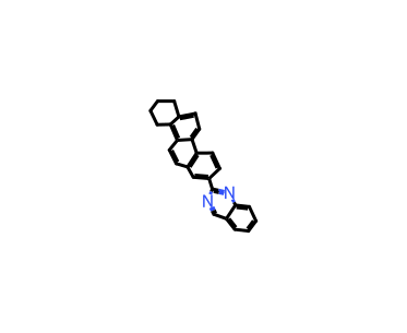 c1ccc2nc(-c3ccc4c(ccc5c6c(ccc54)CCCC6)c3)ncc2c1